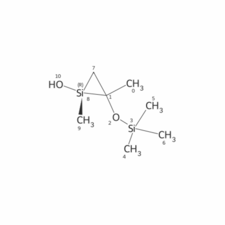 CC1(O[Si](C)(C)C)C[Si@@]1(C)O